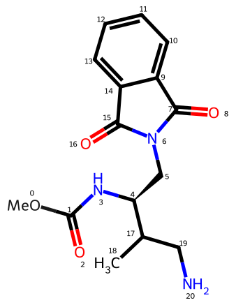 COC(=O)N[C@@H](CN1C(=O)c2ccccc2C1=O)C(C)CN